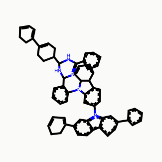 C1=CCCC(C2=CCC(C3NC(c4ccccc4)=NC(c4ccccc4N4c5cc(-n6c7cc(C8=CC=CCC8)ccc7c7ccc(-c8ccccc8)cc76)ccc5C5C=CC=CC54)N3)CC2)=C1